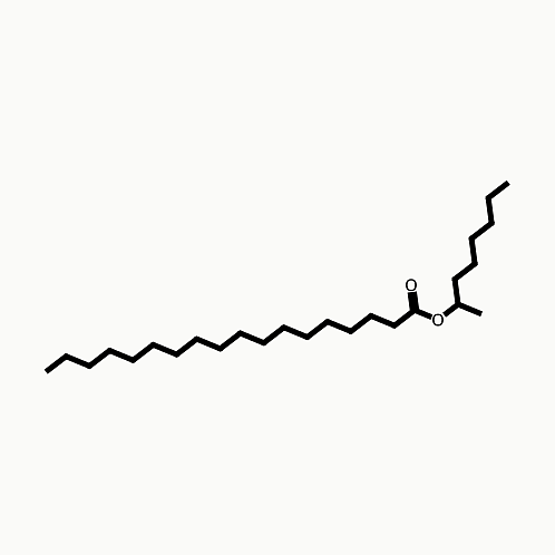 CCCCCCCCCCCCCCCCCC(=O)OC(C)CCCCCC